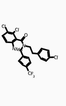 CNc1ccc(Cl)c(Cl)c1C(=O)N(CCc1ccc(Cl)cc1)Cc1ccc(C(F)(F)F)cc1